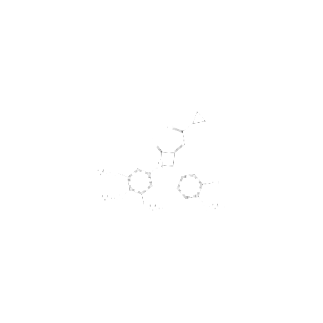 COc1ccc([C@H]2/C(=C/C(=O)C3CC3)C(=O)N2c2cc(OC)c(OC)c(OC)c2)cc1O